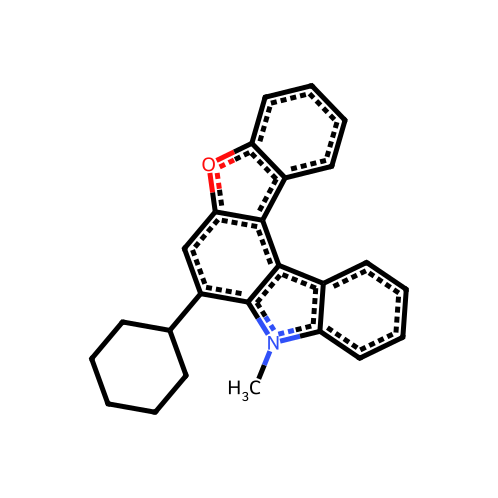 Cn1c2ccccc2c2c3c(cc(C4CCCCC4)c21)oc1ccccc13